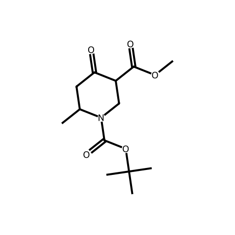 COC(=O)C1CN(C(=O)OC(C)(C)C)C(C)CC1=O